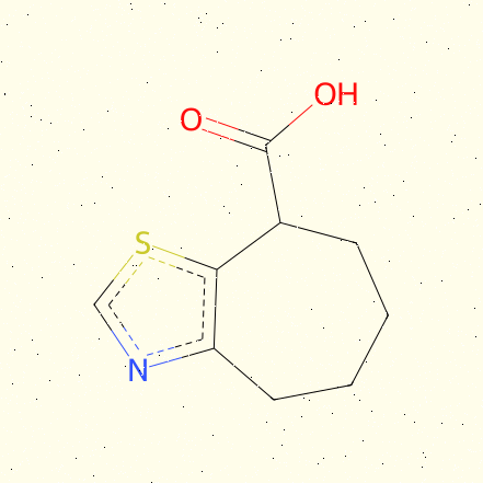 O=C(O)C1CCCCc2ncsc21